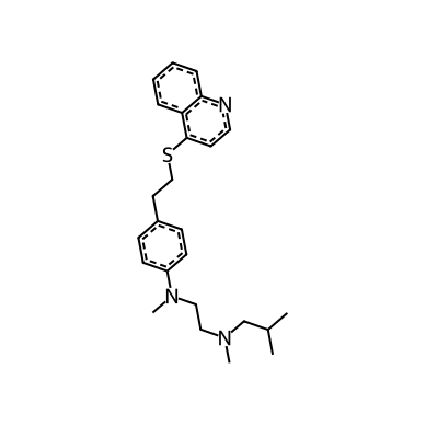 CC(C)CN(C)CCN(C)c1ccc(CCSc2ccnc3ccccc23)cc1